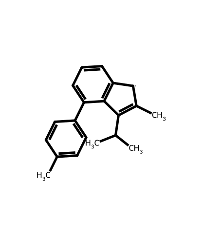 CC1=C(C(C)C)c2c(cccc2-c2ccc(C)cc2)[CH]1